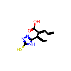 C=C/C=C(C(=O)O)\C(=C/C)c1nnc(S)[nH]1